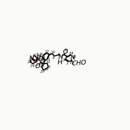 O=Cc1ccc(C(=O)NCCCc2cccc(C3(C(=O)O[C@H]4CN5CCC4CC5)CCCCC3)c2)cn1